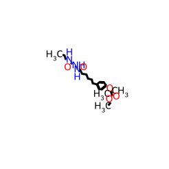 CCCNC(=O)NNC(=O)CCCCCc1ccc(OC(C)(C)C(=O)OCC)cc1